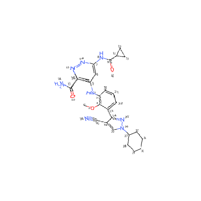 COc1c(Nc2cc(NC(=O)C3CC3)nnc2C(N)=O)cccc1-c1nn(C2CCCCC2)cc1C#N